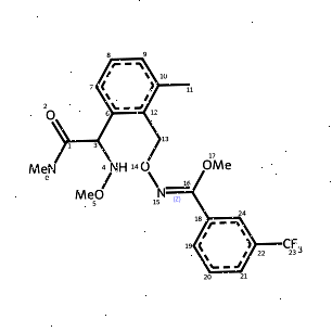 CNC(=O)C(NOC)c1cccc(C)c1CO/N=C(\OC)c1cccc(C(F)(F)F)c1